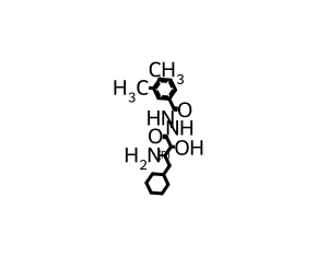 Cc1ccc(C(=O)NNC(=O)C(O)[C@H](N)CC2CCCCC2)cc1C